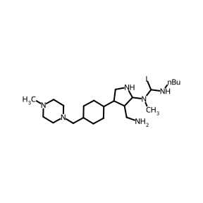 CCCCNC(I)N(C)C1NCC(C2CCC(CN3CCN(C)CC3)CC2)C1CN